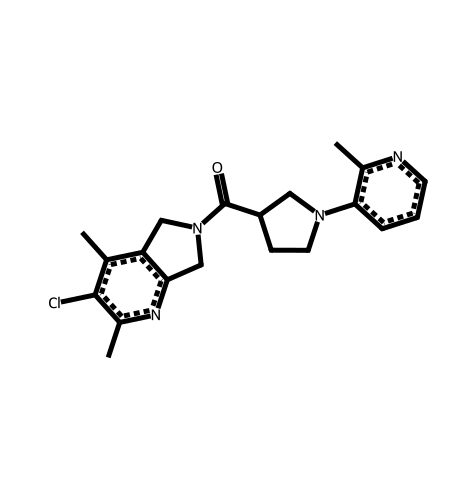 Cc1ncccc1N1CCC(C(=O)N2Cc3nc(C)c(Cl)c(C)c3C2)C1